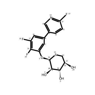 O[C@@H]1[C@@H](O)[C@@H](Oc2cc(-c3ccc(F)nc3)cc(F)c2F)SC[C@H]1O